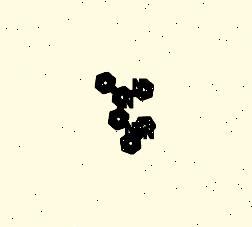 c1ccc(-c2cc(-c3cccc(-n4c5ccccc5c5ncccc54)c3)nc(-c3ccccn3)c2)cc1